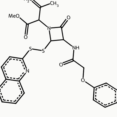 C=C(C)C(C(=O)OC)N1C(=O)C(NC(=O)COc2ccccc2)C1SSc1ccc2ccccc2n1